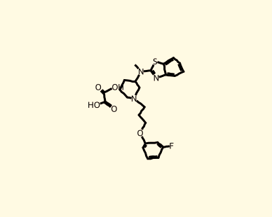 CN(c1nc2ccccc2s1)C1CCCN(CCCOc2cccc(F)c2)C1.O=C(O)C(=O)O